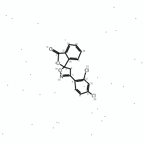 O=C1OC2(CC(c3ccc(Cl)cc3Cl)=NO2)c2ccccc21